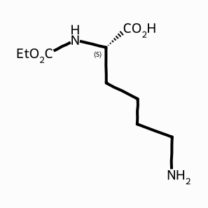 CCOC(=O)N[C@@H](CCCCN)C(=O)O